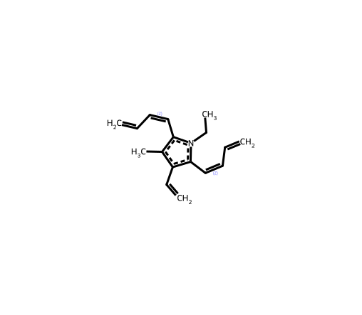 C=C/C=C\c1c(C)c(C=C)c(/C=C\C=C)n1CC